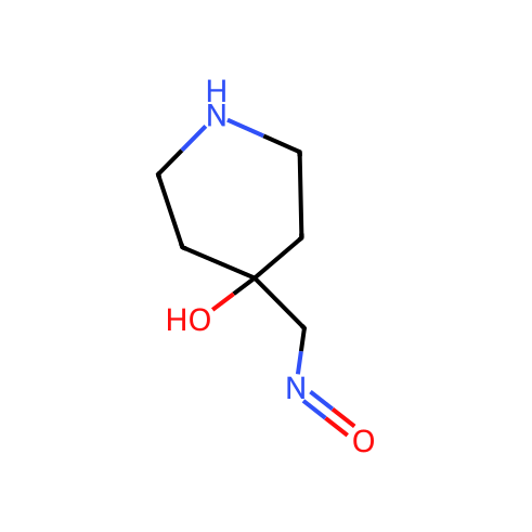 O=NCC1(O)CCNCC1